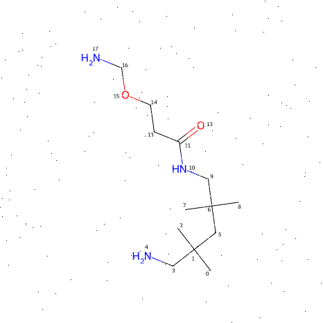 CC(C)(CN)CC(C)(C)CNC(=O)CCOCN